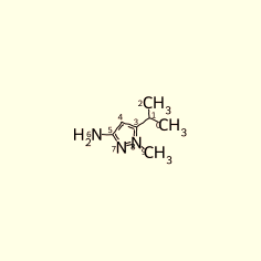 CC(C)c1cc(N)nn1C